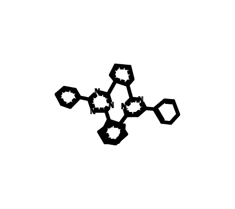 C1=CC(c2cc(-c3ccccc3)nc(-c3ccccc3-c3nc(-c4ccccc4)nc(-c4ccccc4)n3)n2)=CCC1